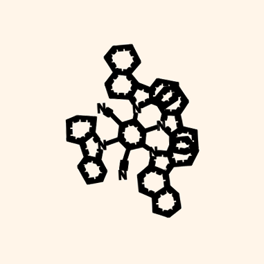 N#Cc1c(-n2c3ccccc3c3ccccc32)c(C#N)c(-n2c3ccccc3c3c4ccccc4ccc32)c(-n2c3ccccc3c3ccccc32)c1-n1c2ccccc2c2c3ccccc3ccc21